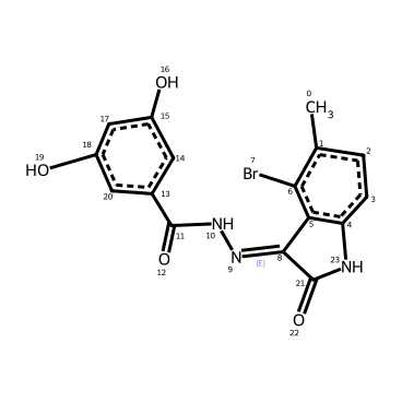 Cc1ccc2c(c1Br)/C(=N\NC(=O)c1cc(O)cc(O)c1)C(=O)N2